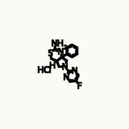 Cl.NC1=NC2(c3ccccc3)CN(c3ncc(F)cn3)C[C@H]2CS1